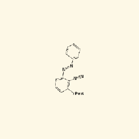 CCCCCc1cccc(N=Nc2ccccc2)c1[N+]#N